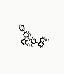 Cc1cccc2c1n(-c1ccc(-c3cncc4[nH]ncc34)cn1)c(=O)n2CC(=O)N1CCOCC1